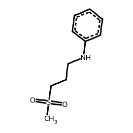 CS(=O)(=O)CCCNc1ccccc1